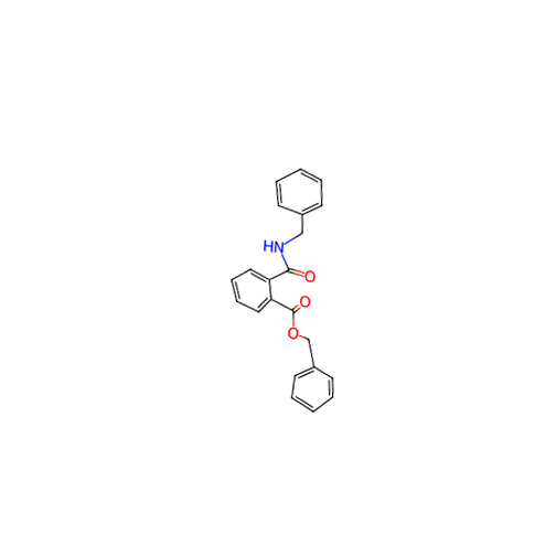 O=C(NCc1ccccc1)c1ccccc1C(=O)OCc1ccccc1